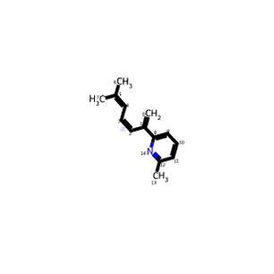 C=C(/C=C\C=C(C)C)c1cccc(C)n1